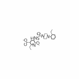 CCc1ccccc1N1CCN(C(=O)SNc2cc(C(=O)OC)c(CC)nc2OC)CC1